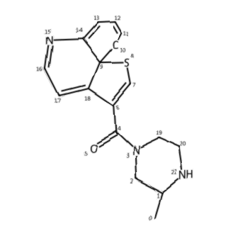 CC1CN(C(=O)C2=CSC34CC=CC=C3N=CC=C24)CCN1